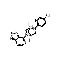 Clc1ccc(N2C[C@@H]3C[C@H]2CN3c2ncnc3nsnc23)nc1